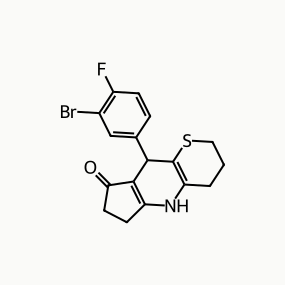 O=C1CCC2=C1C(c1ccc(F)c(Br)c1)C1=C(CCCS1)N2